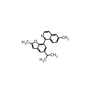 Cc1ccc2c(-c3cc(C(C)C)cc4cc(C)oc34)nccc2c1